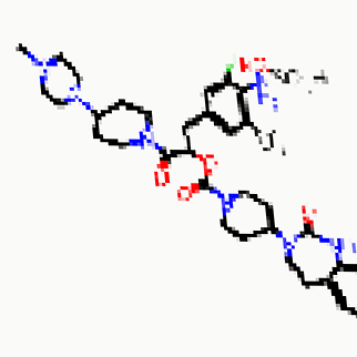 CN1CCN(C2CCN(C(=O)[C@@H](Cc3cc(Cl)c(N)c(C(F)(F)F)c3)OC(=O)N3CCC(N4CCc5ccccc5NC4=O)CC3)CC2)CC1.O=S(=O)(O)O